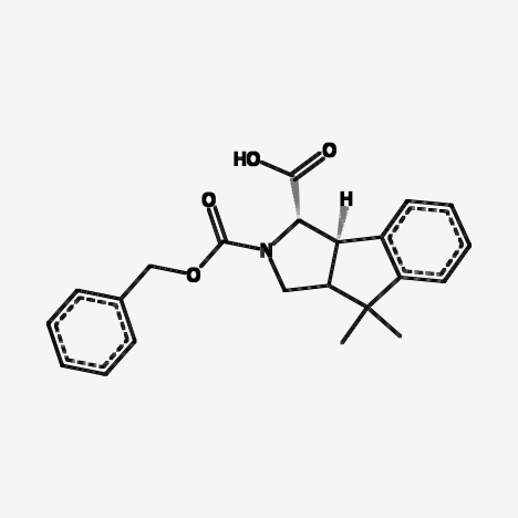 CC1(C)c2ccccc2[C@H]2C1CN(C(=O)OCc1ccccc1)[C@@H]2C(=O)O